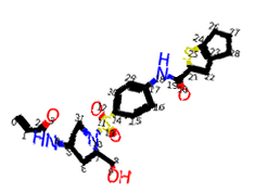 C=CC(=O)NC1CC(CO)N(S(=O)(=O)c2ccc(NC(=O)c3cc4c(s3)CCC4)cc2)C1